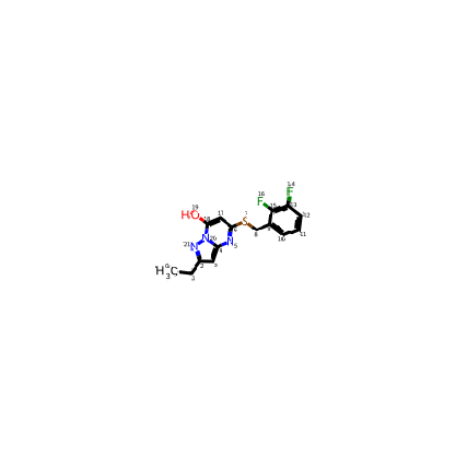 CCc1cc2nc(SCc3cccc(F)c3F)cc(O)n2n1